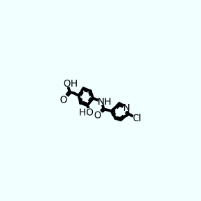 O=C(O)c1ccc(NC(=O)c2ccc(Cl)nc2)c(O)c1